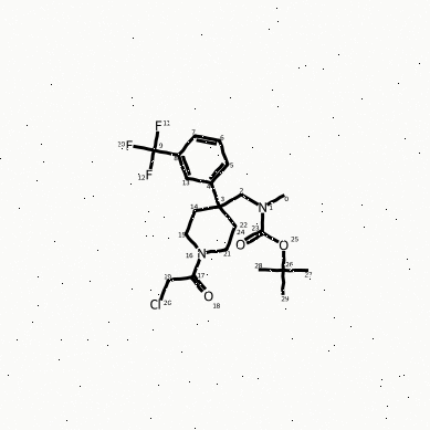 CN(CC1(c2cccc(C(F)(F)F)c2)CCN(C(=O)CCl)CC1)C(=O)OC(C)(C)C